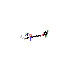 CN(C)C[C@@H](CC(=O)O)NC(=O)CCCCCCCOCc1ccc(F)cc1F